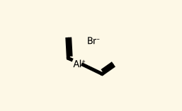 C=[CH][Al+][CH]=C.[Br-]